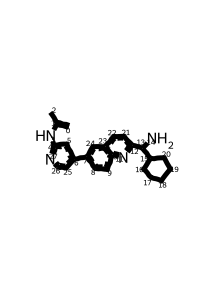 C=C(C)Nc1cc(-c2ccc3nc(C(N)C4CCCCC4)ccc3c2)ccn1